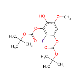 COc1cc(OC(=O)OC(C)(C)C)c(I)c(OC(=O)OC(C)(C)C)c1O